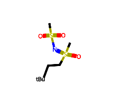 CC(C)(C)CCS(C)(=O)=NS(C)(=O)=O